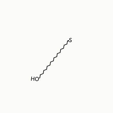 OCCCCCCCCCCCCCCCCCC=S